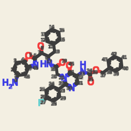 Nc1ccc2oc(C(=O)C(Cc3ccccc3)NC(=O)Cn3c(-c4ccc(F)cc4)ncc(NC(=O)OCc4ccccc4)c3=O)nc2c1